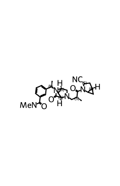 CNC(=O)c1cccc([C@@H](C)N2C(=O)[C@@H]3C[C@H]2CN3C[C@H](C)C(=O)N2C3C[C@H]3C[C@H]2C#N)c1